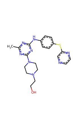 Cc1nc(Nc2ccc(Sc3cnccn3)cc2)nc(N2CCN(CCO)CC2)n1